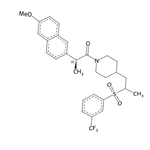 COc1ccc2cc([C@H](C)C(=O)N3CCC(CC(C)S(=O)(=O)c4cccc(C(F)(F)F)c4)CC3)ccc2c1